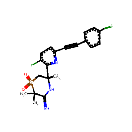 CC1(c2nc(C#Cc3ccc(F)cc3)ccc2F)CS(=O)(=O)C(C)(C)C(=N)N1